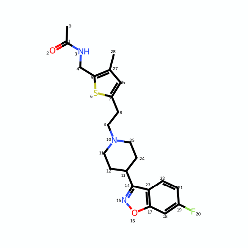 CC(=O)NCc1sc(CCN2CCC(c3noc4cc(F)ccc34)CC2)cc1C